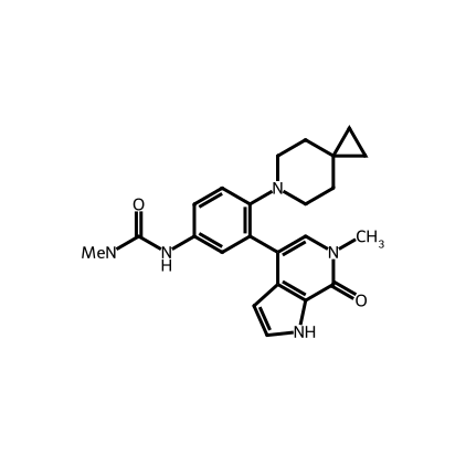 CNC(=O)Nc1ccc(N2CCC3(CC2)CC3)c(-c2cn(C)c(=O)c3[nH]ccc23)c1